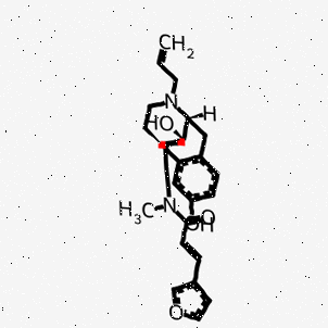 C=CCN1CC[C@]23CC(N(C)C(=O)/C=C/c4ccoc4)CC[C@@]2(O)[C@H]1Cc1ccc(O)cc13